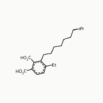 CCc1ccc(C(=O)O)c(C(=O)O)c1CCCCCCCC(C)C